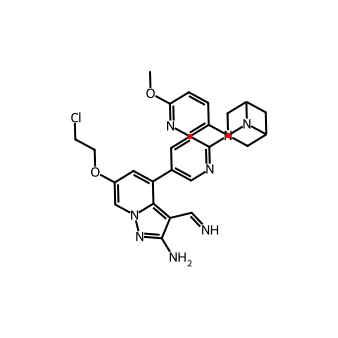 COc1ccc(CN2C3CC2CN(c2ccc(-c4cc(OCCCl)cn5nc(N)c(C=N)c45)cn2)C3)cn1